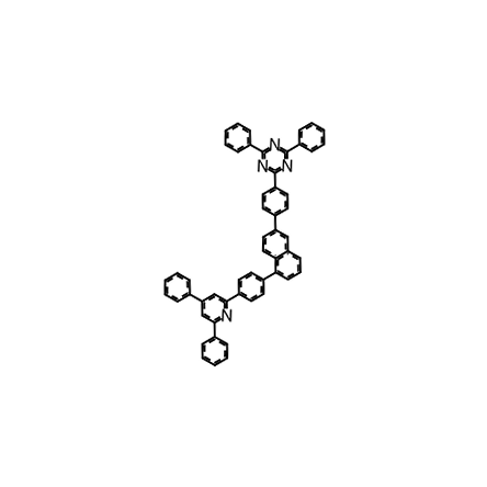 c1ccc(-c2cc(-c3ccccc3)nc(-c3ccc(-c4cccc5cc(-c6ccc(-c7nc(-c8ccccc8)nc(-c8ccccc8)n7)cc6)ccc45)cc3)c2)cc1